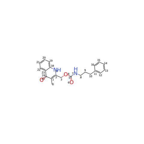 Cc1c(COC(=O)NCCCc2ccccc2)[nH]c2ccccc2c1=O